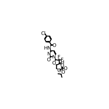 CC(C)OP1(=O)OCC2OC(n3ccc(NC(=O)c4ccc(Cl)cc4)nc3=O)C(F)(F)[C@@H]2O1